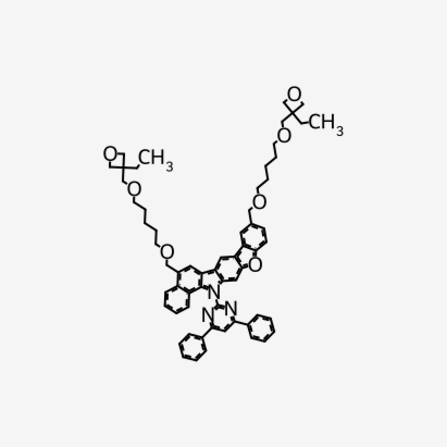 CCC1(COCCCCCOCc2ccc3oc4cc5c(cc4c3c2)c2cc(COCCCCCOCC3(CC)COC3)c3ccccc3c2n5-c2nc(-c3ccccc3)cc(-c3ccccc3)n2)COC1